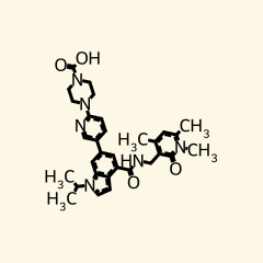 Cc1cc(C)n(C)c(=O)c1CNC(=O)c1cc(-c2ccc(N3CCN(C(=O)O)CC3)nc2)cc2c1ccn2C(C)C